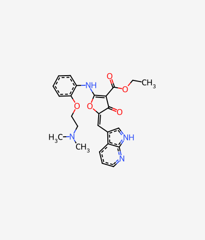 CCOC(=O)C1=C(Nc2ccccc2OCCN(C)C)OC(=Cc2c[nH]c3ncccc23)C1=O